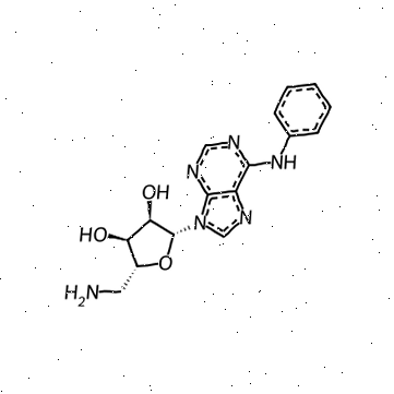 NC[C@H]1O[C@@H](n2cnc3c(Nc4ccccc4)ncnc32)[C@H](O)[C@@H]1O